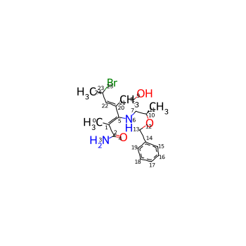 C/C(C(N)=O)=C(N[C@H](CO)[C@@H](C)OCc1ccccc1)\C(C)=C\C(C)Br